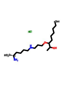 CCCCCCCCCCCCCCCC(OCCCNCCCC[C@H](N)C(=O)O)C(C)O.Cl